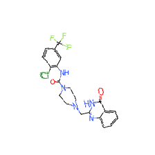 O=C(Nc1cc(C(F)(F)F)ccc1Cl)N1CCN(Cc2nc3ccccc3c(=O)[nH]2)CC1